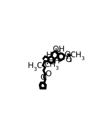 CC(=O)O[C@@H]1CC[C@]2(C)[C@H]3CC[C@]4(C)[C@@H]([C@H](C)CCC(=O)OCc5ccccc5)CC[C@H]4[C@@H]3C[C@H](O)[C@@H]2C1